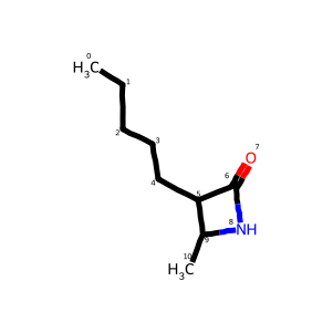 CCCCCC1C(=O)NC1C